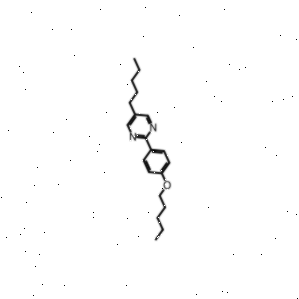 CCCCCOc1ccc(-c2ncc(CCCCC)cn2)cc1